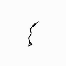 FC#CCCCC1[CH]C1